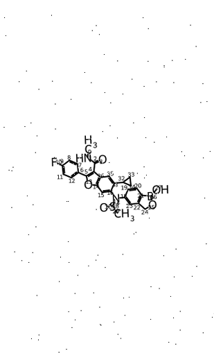 CNC(=O)c1c(-c2ccc(F)cc2)oc2cc(N(c3ccc4c(c3)COB4O)[S+](C)[O-])c(C3CC3)cc12